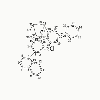 Clc1cc(-c2cccc3ccccc23)cc2c1-c1ccc(-c3ccccc3)cc1C1CC3CC(C1)CC2C3